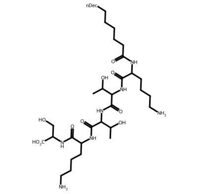 CCCCCCCCCCCCCCCC(=O)NC(CCCCN)C(=O)NC(C(=O)NC(C(=O)NC(CCCCN)C(=O)NC(CO)C(=O)O)C(C)O)C(C)O